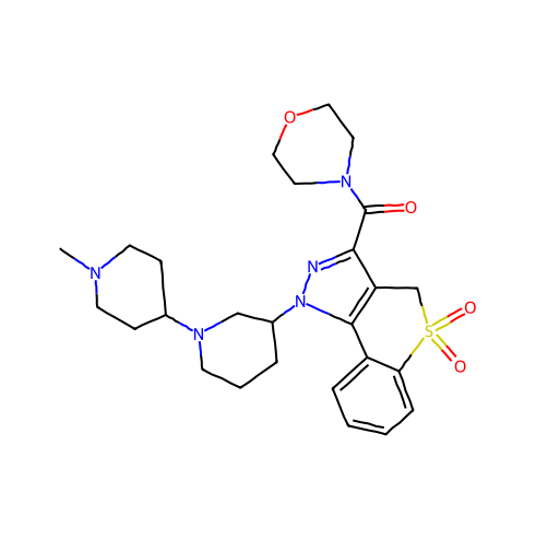 CN1CCC(N2CCCC(n3nc(C(=O)N4CCOCC4)c4c3-c3ccccc3S(=O)(=O)C4)C2)CC1